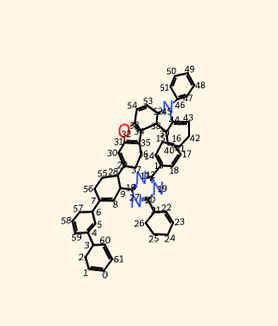 C1=CCC(C2=CC(C3=CC(c4nc(C5=CCCC=C5)nc(C5C=CCCC5)n4)C(C4=Cc5oc6c(c5CC4)C4C5CCCC=C5N(c5ccccc5)C4C=C6)CC3)CC=C2)C=C1